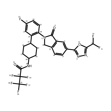 O=C1c2cc(-c3nnc(C(F)F)o3)ccc2CN1c1ccc(F)cc1C1CCC(NC(=O)C(F)(F)C(F)(F)F)CC1